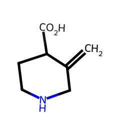 C=C1CNCCC1C(=O)O